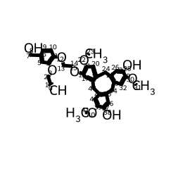 C#CCOc1cc(CO)ccc1OCCOc1cc2c(cc1OC)Cc1cc(O)c(OC)cc1Cc1cc(O)c(OC)cc1C2